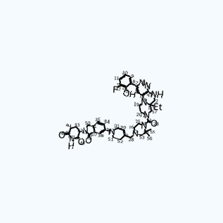 CCC12CNc3nnc(-c4cccc(F)c4O)cc3N1CCN(C(=O)N1CCN(CC3CCN(c4ccc5c(c4)C(=O)N([C@H]4CCC(=O)NC4=O)C5)CC3)CC1(C)C)C2